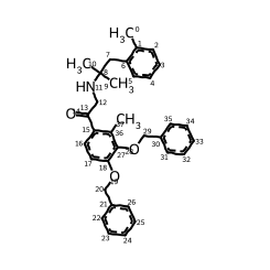 Cc1ccccc1CC(C)(C)NCC(=O)c1ccc(OCc2ccccc2)c(OCc2ccccc2)c1C